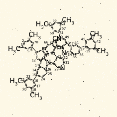 Cc1cc(C)cc(-c2ccc3c(c2)c2cc(-c4cc(C)cc(C)c4)ccc2n3-c2cncc(-n3c4ccc(-c5cc(C)cc(C)c5)cc4c4cc(-c5cc(C)cc(C)c5)ccc43)c2-c2cccc(C#N)c2)c1